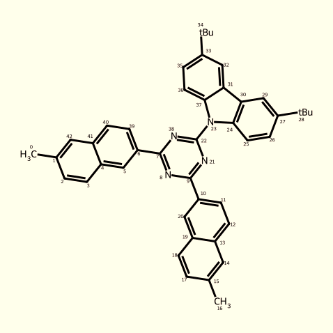 Cc1ccc2cc(-c3nc(-c4ccc5cc(C)ccc5c4)nc(-n4c5ccc(C(C)(C)C)cc5c5cc(C(C)(C)C)ccc54)n3)ccc2c1